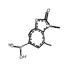 Cc1cc(B(O)O)cc2oc(=O)n(C)c12